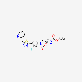 CC(C)(C)OC(=O)NC[C@H]1CN(c2ccc(-c3nnc(Cc4ccccn4)s3)c(F)c2)C(=O)O1